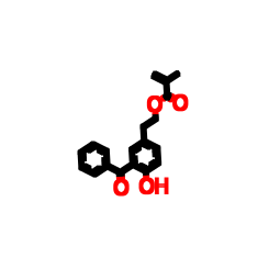 C=C(C)C(=O)OCCc1ccc(O)c(C(=O)c2ccccc2)c1